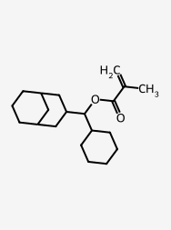 C=C(C)C(=O)OC(C1CCCCC1)C1CC2CCCC(C2)C1